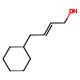 OCC=CCC1CCCCC1